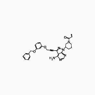 C=CC(=O)N1CCCC(n2nc(C#CCOc3cccc(OCc4ccccc4)c3)c3c(N)ncnc32)C1